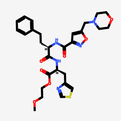 COCCOC(=O)[C@H](Cc1cscn1)NC(=O)[C@H](CCc1ccccc1)NC(=O)c1cc(CN2CCOCC2)on1